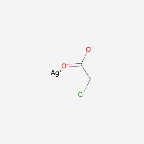 O=C([O-])CCl.[Ag+]